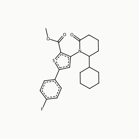 COC(=O)c1sc(-c2ccc(F)cc2)cc1N1C(=O)CCCC1C1CCCCC1